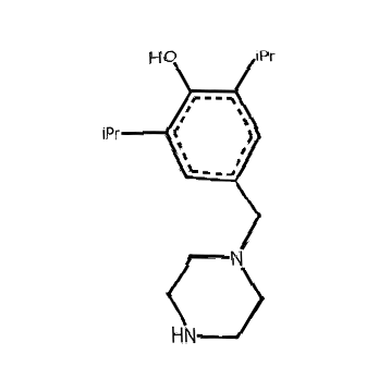 CC(C)c1cc(CN2CCNCC2)cc(C(C)C)c1O